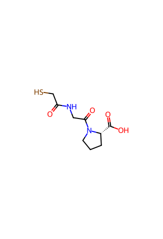 O=C(CS)NCC(=O)N1CCC[C@H]1C(=O)O